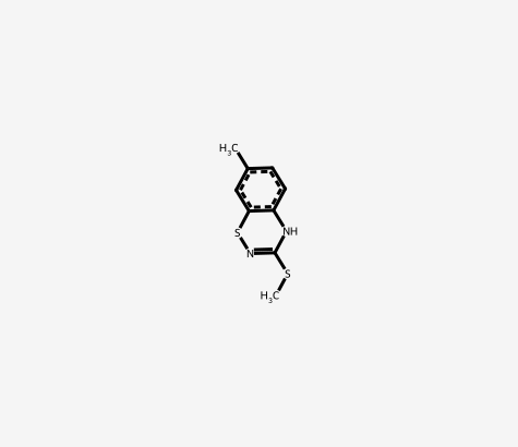 CSC1=NSc2cc(C)ccc2N1